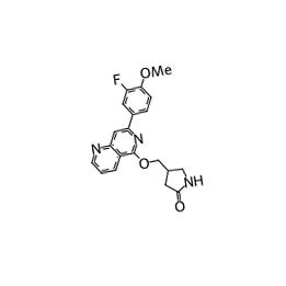 COc1ccc(-c2cc3ncccc3c(OCC3CNC(=O)C3)n2)cc1F